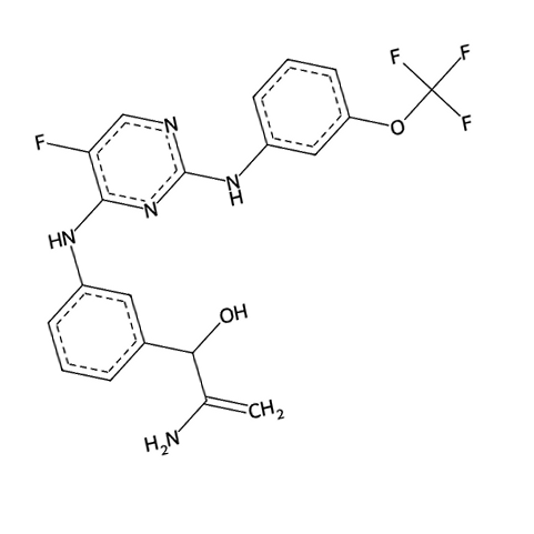 C=C(N)C(O)c1cccc(Nc2nc(Nc3cccc(OC(F)(F)F)c3)ncc2F)c1